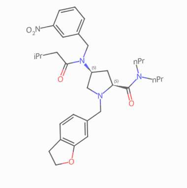 CCCN(CCC)C(=O)[C@@H]1C[C@H](N(Cc2cccc([N+](=O)[O-])c2)C(=O)CC(C)C)CN1Cc1ccc2c(c1)OCC2